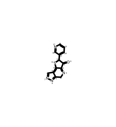 O=C1C2=NCC3=NN=CC3=C2SC1c1cccnc1